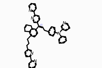 C1=CCc2c(/C(=C\Cc3ccc(N(c4ccccc4)c4cccnc4)cc3)c3ccc(-c4ccccn4)nc3)ccc(CCCc3ccc(-c4ccccn4)nc3)c2C1